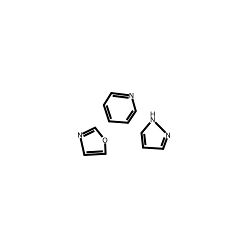 c1ccncc1.c1cn[nH]c1.c1cocn1